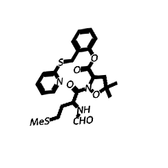 CSCCC(NC=O)C(=O)N1OC(C)(C)CC1C(=O)Oc1ccccc1CSc1ccccn1